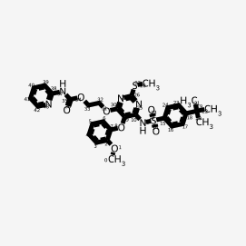 COc1ccccc1Oc1c(NS(=O)(=O)c2ccc(C(C)(C)C)cc2)nc(SC)nc1OCCOC(=O)Nc1ccccn1